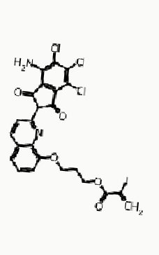 C=C(I)C(=O)OCCCOc1cccc2ccc(C3C(=O)c4c(N)c(Cl)c(Cl)c(Cl)c4C3=O)nc12